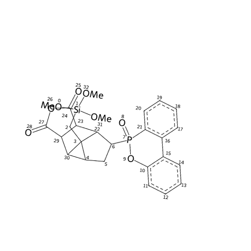 CO[Si](CC12C3CC(P4(=O)Oc5ccccc5-c5ccccc54)C1C1C(=O)OC(=O)C1C32)(OC)OC